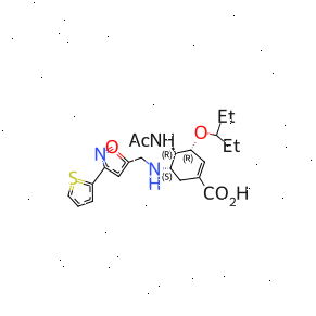 CCC(CC)O[C@@H]1C=C(C(=O)O)C[C@H](NCc2cc(-c3cccs3)no2)[C@H]1NC(C)=O